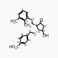 Cc1cccc(SC[C@H]2C(Cl)CC(O)[C@@H]2CCc2ccc(C(=O)O)cc2)c1C